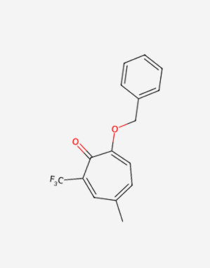 Cc1ccc(OCc2ccccc2)c(=O)c(C(F)(F)F)c1